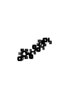 CN1CCC(OC(=O)CCC(=O)c2cccc(Cl)c2)CC1